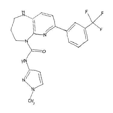 Cn1ccc(NC(=O)N2CCCNc3ccc(-c4cccc(C(F)(F)F)c4)nc32)n1